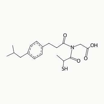 CC(C)Cc1ccc(CCC(=O)N(CC(=O)O)C(=O)C(C)S)cc1